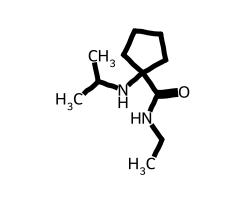 CCNC(=O)C1(NC(C)C)CCCC1